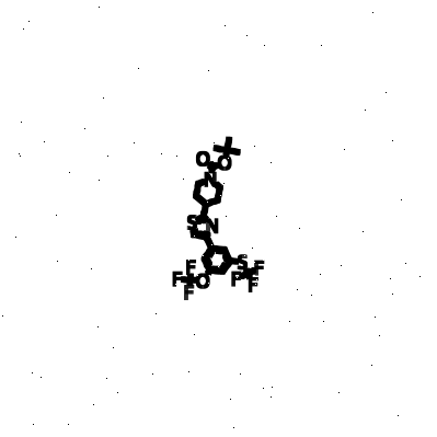 CC(C)(C)OC(=O)N1CCC(c2nc(-c3cc(OC(F)(F)F)cc(SC(F)(F)F)c3)cs2)CC1